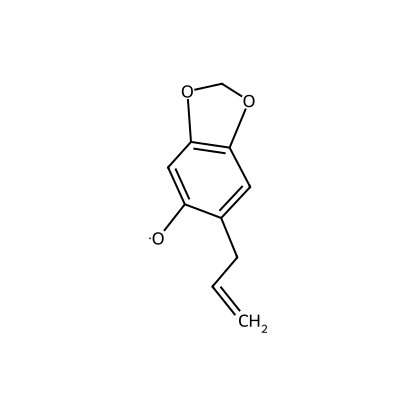 C=CCc1cc2c(cc1[O])OCO2